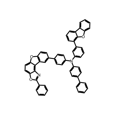 c1ccc(-c2ccc(N(c3ccc(-c4ccc5oc6ccc7oc(-c8ccccc8)nc7c6c5c4)cc3)c3cccc(-c4cccc5c4oc4ccccc45)c3)cc2)cc1